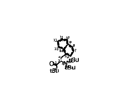 CC(C)(C)C(=O)[C@H](Cc1cccc2ccccc12)N(C(C)(C)C)C(C)(C)C